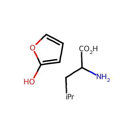 CC(C)CC(N)C(=O)O.Oc1ccco1